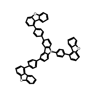 c1ccc2c(c1)oc1cccc(-c3ccc(-c4ccc5c(c4)c4cc(-c6ccc(-c7cccc8oc9ccccc9c78)cc6)ccc4n5-c4ccc(-c5cccc6oc7ccccc7c56)cc4)cc3)c12